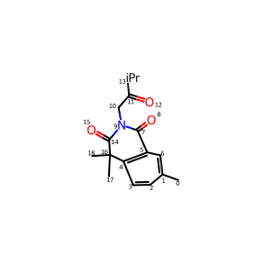 Cc1ccc2c(c1)C(=O)N(CC(=O)C(C)C)C(=O)C2(C)C